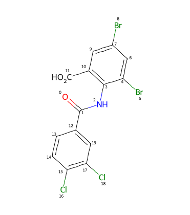 O=C(Nc1c(Br)cc(Br)cc1C(=O)O)c1ccc(Cl)c(Cl)c1